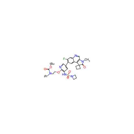 CC(C)N(CCOc1ncc(-c2cc3c4c(cnc3cc2F)N(C)C(=O)C42CCC2)cc1NS(=O)(=O)N1CCC1)C(=O)OC(C)(C)C